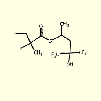 CC(CC(O)(C(F)(F)F)C(F)(F)F)OC(=O)C(C)(I)CI